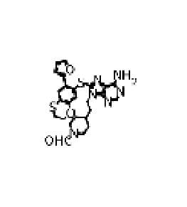 Nc1ncnc2c1nc(Sc1cc3c(cc1-c1ccco1)SCCO3)n2CCC1CCN(C=O)CC1